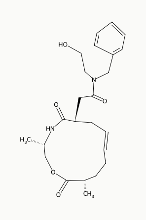 C[C@H]1COC(=O)[C@@H](C)CC/C=C/C[C@H](CC(=O)N(CCO)Cc2ccccc2)C(=O)N1